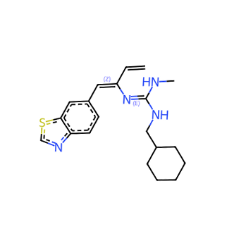 C=CC(=C/c1ccc2ncsc2c1)/N=C(\NC)NCC1CCCCC1